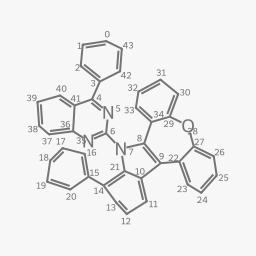 c1ccc(-c2nc(-n3c4c(c5cccc(-c6ccccc6)c53)-c3ccccc3Oc3ccccc3-4)nc3ccccc23)cc1